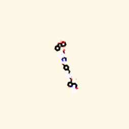 O=C(COc1cccc(C(O)(C(=O)O)c2ccccc2)c1)NC1CCN(C(=O)c2ccc(CCNCC(O)c3ccc(O)c4[nH]c(=O)ccc34)cc2)C1